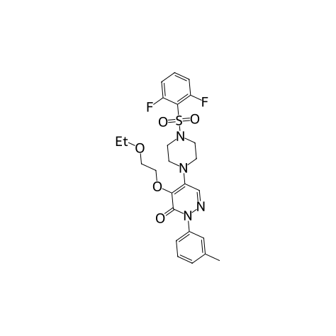 CCOCCOc1c(N2CCN(S(=O)(=O)c3c(F)cccc3F)CC2)cnn(-c2cccc(C)c2)c1=O